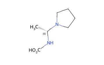 C[C@@H](NC(=O)O)N1CCCC1